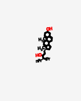 CCC[C@@H](C(C)C)[C@@H](O)CC[C@H]1CCC2C3CC=C4C[C@@H](O)CC[C@]4(C)C3CC[C@@]21C